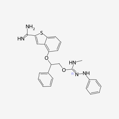 CN/C(=N\Nc1ccccc1)OCC(Oc1cccc2sc(C(=N)N)cc12)c1ccccc1